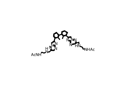 CC(=O)NCCNCc1cnc2nc(-c3cccc(-c4cccc(-c5cn6nc(CNCCNC(C)=O)cnc6n5)c4C)c3C)cn2n1